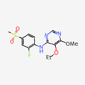 CCOc1c(Nc2ccc(S(C)(=O)=O)cc2F)ncnc1OC